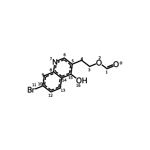 O=COCCc1cnc2cc(Br)ccc2c1O